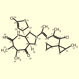 C/C(=N\C(C)=C(\Cl)C1(C2CC2)CC1C)N1C[C@H]2C(=O)C(C)C(C)C(=N)N[C@@]2(C2C=C(Cl)SC2)C1